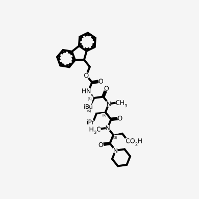 CC[C@H](C)[C@H](NC(=O)OCC1c2ccccc2-c2ccccc21)C(=O)N(C)[C@H](CC(C)C)C(=O)N(C)[C@@H](CC(=O)O)C(=O)N1CCCCC1